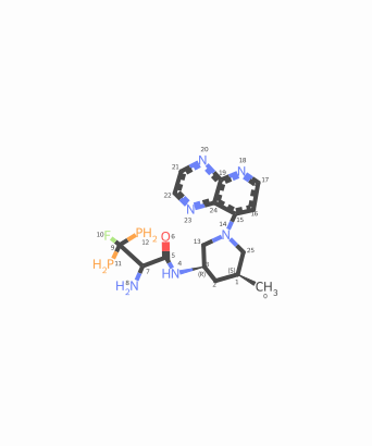 C[C@H]1C[C@@H](NC(=O)C(N)C(F)(P)P)CN(c2ccnc3nccnc23)C1